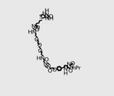 CCCn1c(=O)c2[nH]c(-c3ccc(OCC(=O)N4CCN(CC(=O)NCCCOCCOCCOCCCNC(=O)CN(C)C(=O)CCCC[C@@H]5SC[C@@H]6NC(=O)NC65)CC4)cc3)cc2n(C)c1=O